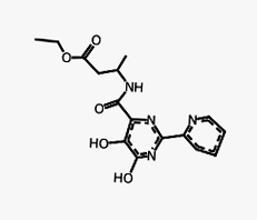 CCOC(=O)CC(C)NC(=O)c1nc(-c2ccccn2)nc(O)c1O